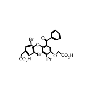 CC(C)c1cc(Oc2c(Br)cc(CC(=O)O)cc2Br)c(C(=O)c2ccccc2)cc1OCC(=O)O